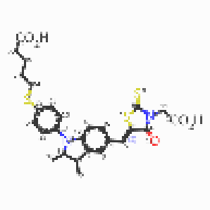 CC1c2cc(/C=C3\SC(=S)N(CC(=O)O)C3=O)ccc2N(c2ccc(SCCCCC(=O)O)cc2)C1C